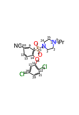 CC(C)N1CCN(S(=O)(=O)c2cc(C#N)ccc2Oc2cc(Cl)ccc2Cl)CC1